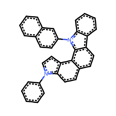 c1ccc(-n2ccc3c4c(ccc5c6ccccc6n(-c6ccc7ccccc7c6)c54)ccc32)cc1